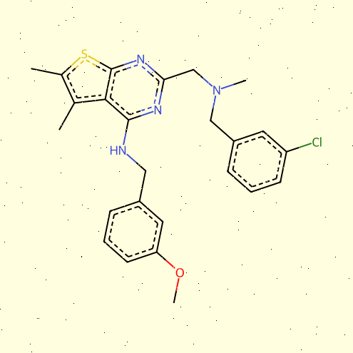 COc1cccc(CNc2nc(CN(C)Cc3cccc(Cl)c3)nc3sc(C)c(C)c23)c1